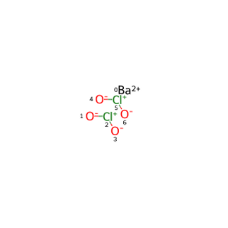 [Ba+2].[O-][Cl+][O-].[O-][Cl+][O-]